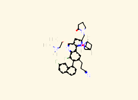 C[C@@H](CN(C)C)Oc1nc2c(F)c(-c3cccc4ccc(F)cc34)c(CCC#N)cc2c2c1cc(CN1CCCC1=O)n2[C@H]1[C@H]2CN[C@@H]1C2